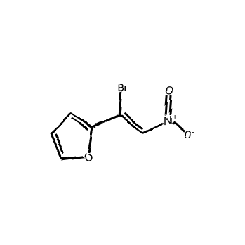 O=[N+]([O-])C=C(Br)c1ccco1